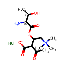 CC(=O)C(C(=O)[O-])C(C[N+](C)(C)C)OC(=O)[C@@H](N)[C@@H](C)O.Cl